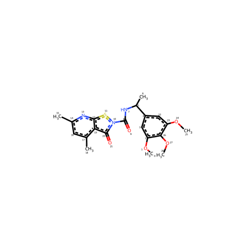 COc1cc(C(C)NC(=O)n2sc3nc(C)cc(C)c3c2=O)cc(OC)c1OC